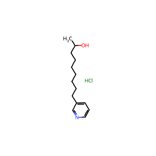 CC(O)CCCCCCCc1cccnc1.Cl